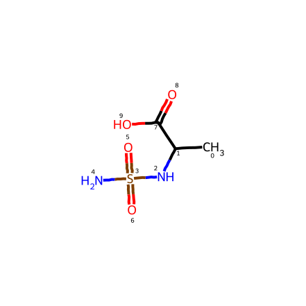 CC(NS(N)(=O)=O)C(=O)O